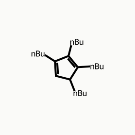 CCCCC1=CC(CCCC)C(CCCC)=C1CCCC